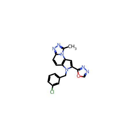 Cc1nnc2ccc3c(cc(-c4nnco4)n3Cc3cccc(Cl)c3)n12